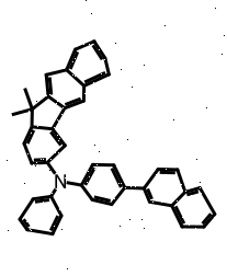 CC1(C)c2ccc(N(c3ccccc3)c3ccc(-c4ccc5ccccc5c4)cc3)cc2-c2cc3ccccc3cc21